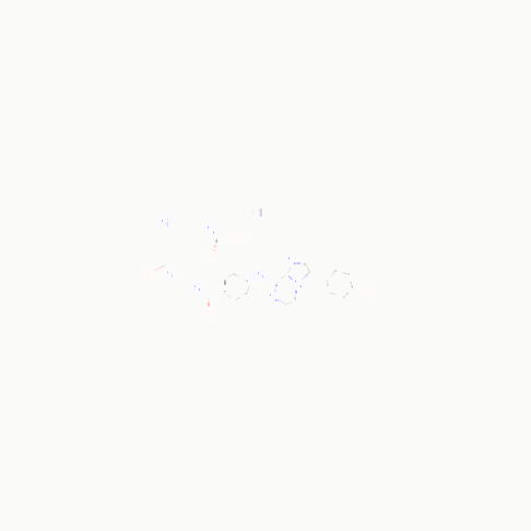 C[N+]1(CC2CCN(C(=O)O)C2)CCC(C(=O)N2CCN(C(=O)c3ccc(Nc4nccn5c(-c6ccc(OC(F)F)c(F)c6F)cnc45)cc3Cl)CC2)CC1.I